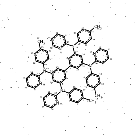 Cc1ccc(N(c2cc(-c3cc(N(c4ccc(C)cc4)c4ccccn4)cc(N(c4ccc(C)cc4)c4ccccn4)c3)cc(N(c3ccc(C)cc3)c3ccccn3)c2)c2ccccn2)cc1